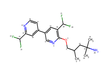 CC(COc1ncc(-c2ccnc(C(F)F)c2)cc1C(F)F)CC(C)(C)N